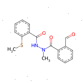 CSc1ccccc1C(=O)NN(C)C(=O)c1ccccc1C=O